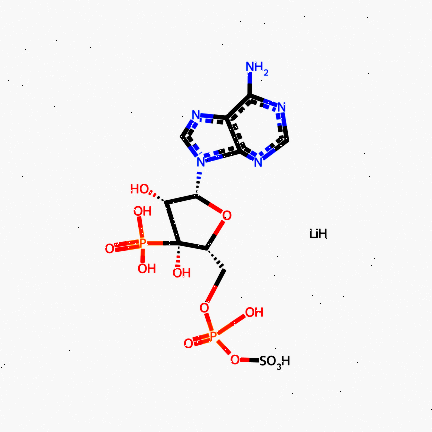 Nc1ncnc2c1ncn2[C@@H]1O[C@H](COP(=O)(O)OS(=O)(=O)O)[C@@](O)(P(=O)(O)O)[C@@H]1O.[LiH]